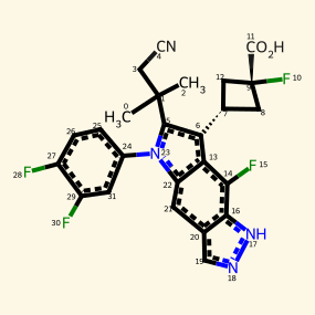 CC(C)(CC#N)c1c([C@H]2C[C@](F)(C(=O)O)C2)c2c(F)c3[nH]ncc3cc2n1-c1ccc(F)c(F)c1